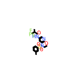 Cc1cccc(S(=O)(=O)N2CCOc3ncc(NC(=O)C(C)C(F)(F)F)cc32)c1